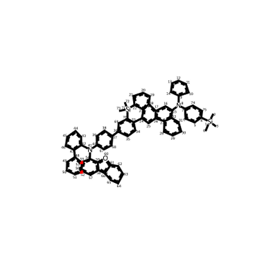 C[Si](C)(C)c1ccc(N(c2ccccc2)c2cc3c4cccc5c4c(cc3c3ccccc23)-c2ccc(-c3ccc(N(c4ccccc4-c4ccccc4)c4cccc6c4oc4ccccc46)cc3)cc2[Si]5(C)C)cc1